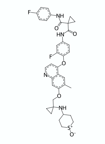 Cc1cc2c(Oc3ccc(NC(=O)C4(C(=O)Nc5ccc(F)cc5)CC4)cc3F)ccnc2cc1OCC1(NC2CC[S+]([O-])CC2)CC1